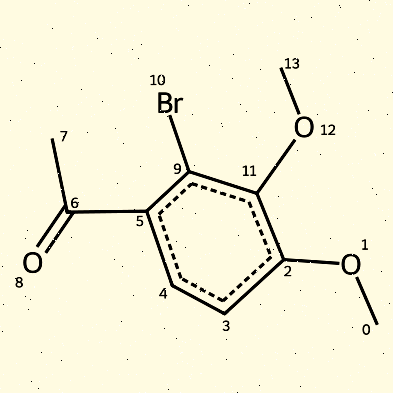 COc1ccc(C(C)=O)c(Br)c1OC